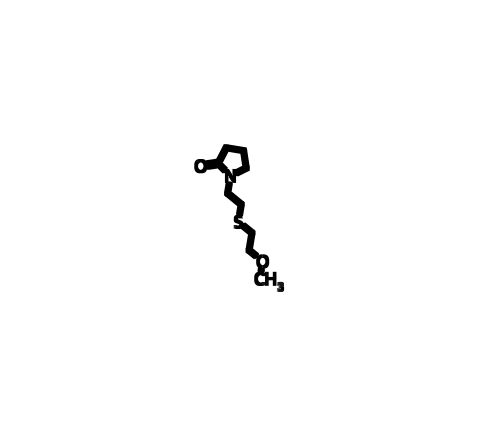 COCCSCCN1CCCC1=O